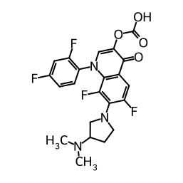 CN(C)C1CCN(c2c(F)cc3c(=O)c(OC(=O)O)cn(-c4ccc(F)cc4F)c3c2F)C1